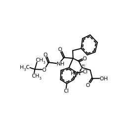 CC(C)(C)OC(=O)NC(=O)C(Cc1ccccc1)(C(=O)[C@H](N)CC(=O)O)c1ccc(Cl)cc1Cl